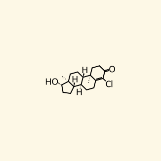 C[C@]12CC[C@H]3[C@@H](CCC4=C(Cl)C(=O)CC[C@@]43C)[C@@H]1CC[C@@H]2O